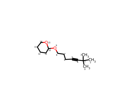 CC(C)(C)C#CCCCOC1CCCCO1